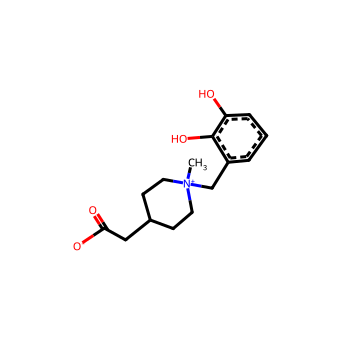 C[N+]1(Cc2cccc(O)c2O)CCC(CC(=O)[O-])CC1